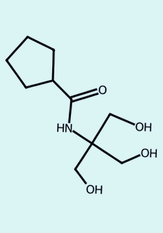 O=C(NC(CO)(CO)CO)C1CCCC1